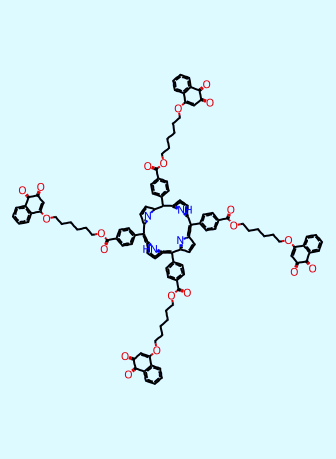 O=C1C=C(OCCCCCCOC(=O)c2ccc(/C3=C4\C=CC(=N4)/C(c4ccc(C(=O)OCCCCCCOC5=CC(=O)C(=O)c6ccccc65)cc4)=c4/cc/c([nH]4)=C(\c4ccc(C(=O)OCCCCCCOC5=CC(=O)C(=O)c6ccccc65)cc4)C4=NC(C=C4)C(c4ccc(C(=O)OCCCCCCOC5=CC(=O)C(=O)c6ccccc65)cc4)c4ccc3[nH]4)cc2)c2ccccc2C1=O